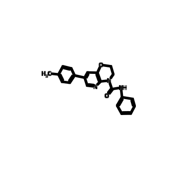 Cc1ccc(-c2cnc3c(c2)OCCN3C(=O)Nc2ccccc2)cc1